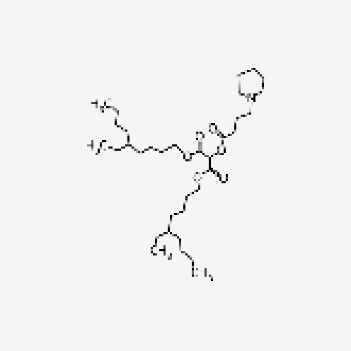 CCCCC(CC)CCCCOC(=O)C(OC(=O)CCCN1CCCCC1)C(=O)OCCCCC(CC)CCCC